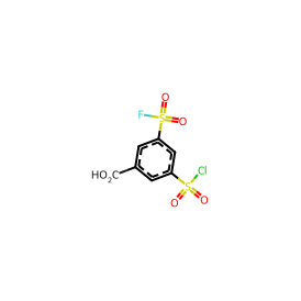 O=C(O)c1cc(S(=O)(=O)F)cc(S(=O)(=O)Cl)c1